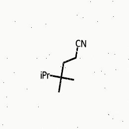 CC(C)C(C)(C)CCC#N